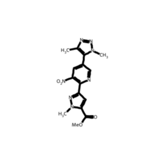 COC(=O)c1cc(-c2ncc(-c3c(C)nnn3C)cc2[N+](=O)[O-])nn1C